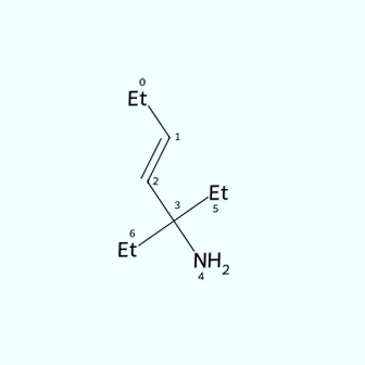 CCC=CC(N)(CC)CC